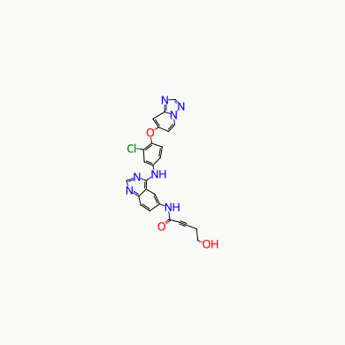 O=C(C#CCCO)Nc1ccc2ncnc(Nc3ccc(Oc4ccn5ncnc5c4)c(Cl)c3)c2c1